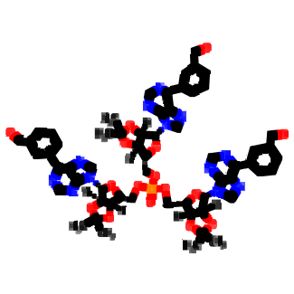 CC1(C)O[C@@H]2[C@H](O1)[C@@H](COP(=O)(OC[C@H]1O[C@@H](n3cnc4c(-c5cccc(C=O)c5)ncnc43)[C@@H]3OC(C)(C)O[C@@H]31)OC[C@H]1O[C@@H](n3cnc4c(-c5cccc(C=O)c5)ncnc43)[C@@H]3OC(C)(C)O[C@@H]31)O[C@H]2n1cnc2c(-c3cccc(C=O)c3)ncnc21